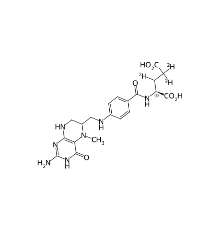 [2H]C([C@H](NC(=O)c1ccc(NCC2CNc3nc(N)[nH]c(=O)c3N2C)cc1)C(=O)O)C([2H])([2H])C(=O)O